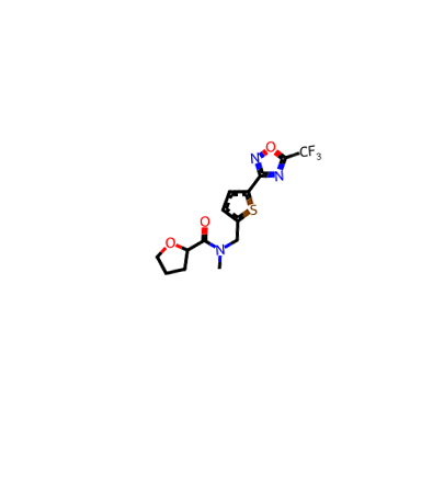 CN(Cc1ccc(-c2noc(C(F)(F)F)n2)s1)C(=O)C1CCCO1